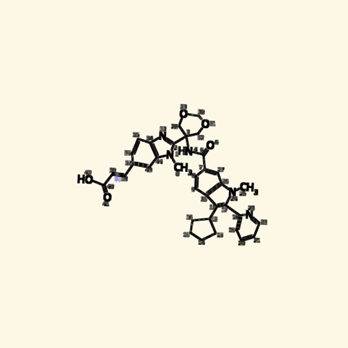 Cn1c(C2(NC(=O)c3ccc4c(C5CCCC5)c(-c5ccccn5)n(C)c4c3)COCOC2)nc2ccc(/C=C/C(=O)O)cc21